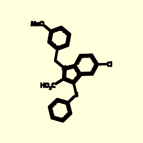 COc1cccc(Cn2c(C(=O)O)c(Sc3ccccc3)c3cc(Cl)ccc32)c1